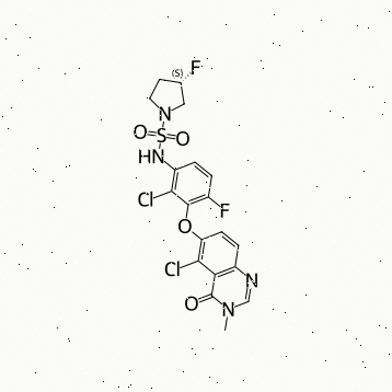 Cn1cnc2ccc(Oc3c(F)ccc(NS(=O)(=O)N4CC[C@H](F)C4)c3Cl)c(Cl)c2c1=O